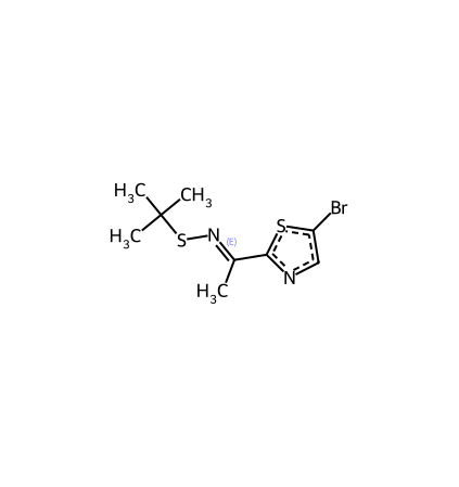 C/C(=N\SC(C)(C)C)c1ncc(Br)s1